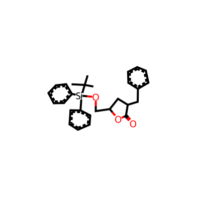 CC(C)(C)[Si](OCC1CC(Cc2ccccc2)C(=O)O1)(c1ccccc1)c1ccccc1